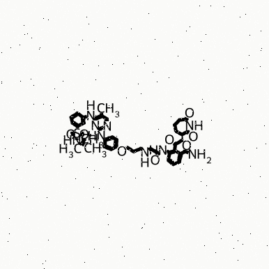 Cc1cnc(Nc2ccc(OCCCNCC(=O)Nc3cccc(C(N)=O)c3C(=O)C[C@H]3CCCC(=O)NC3=O)cc2)nc1Nc1cccc(S(=O)(=O)NC(C)(C)C)c1